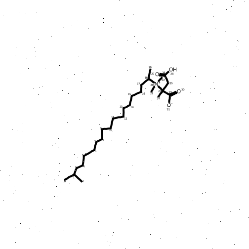 CC(C)CCCCCCCCCCCCCCCC(C)[N+](C)(C)C(C)(CC(=O)O)C(=O)[O-]